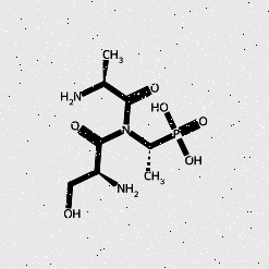 C[C@H](N)C(=O)N(C(=O)[C@@H](N)CO)[C@@H](C)P(=O)(O)O